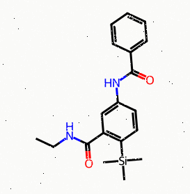 CCNC(=O)c1cc(NC(=O)c2ccccc2)ccc1[Si](C)(C)C